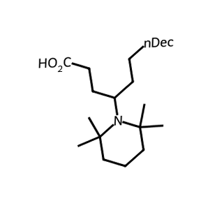 CCCCCCCCCCCCC(CCC(=O)O)N1C(C)(C)CCCC1(C)C